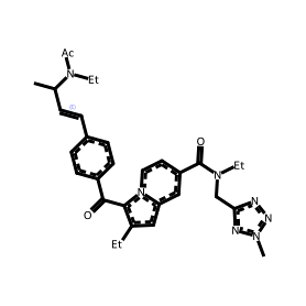 CCc1cc2cc(C(=O)N(CC)Cc3nnn(C)n3)ccn2c1C(=O)c1ccc(/C=C/C(C)N(CC)C(C)=O)cc1